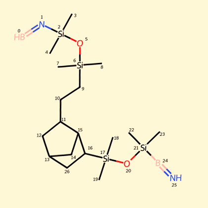 B=N[Si](C)(C)O[Si](C)(C)CCC1CC2CC1C([Si](C)(C)O[Si](C)(C)B=N)C2